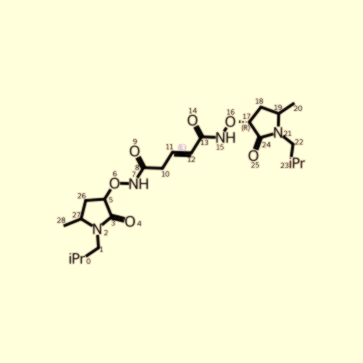 CC(C)CN1C(=O)C(ONC(=O)C/C=C/C(=O)NO[C@@H]2CC(C)N(CC(C)C)C2=O)CC1C